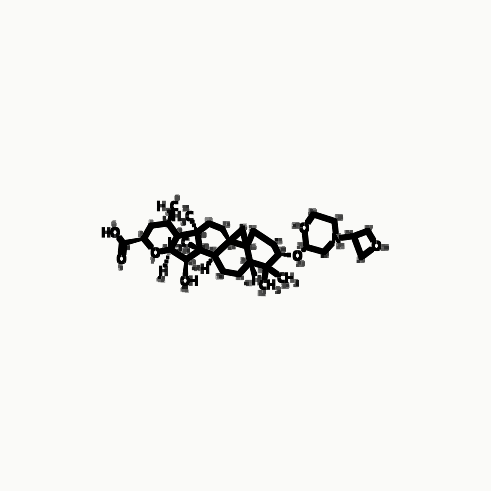 C[C@@H]1C[C@H](C(=O)O)O[C@H]2C1[C@@]1(C)CC[C@@]34CC35CC[C@H](O[C@H]3CN(C6COC6)CCO3)C(C)(C)[C@@H]5CC[C@H]4[C@]1(C)[C@H]2O